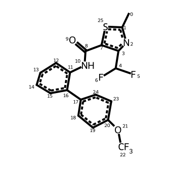 Cc1nc(C(F)F)c(C(=O)Nc2ccccc2-c2ccc(OC(F)(F)F)cc2)s1